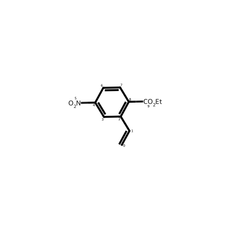 C=Cc1cc([N+](=O)[O-])ccc1C(=O)OCC